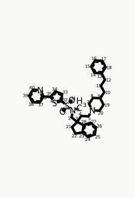 CN(CC1(CCN2CCC(CCCc3ccccc3)CC2)CCc2ccccc21)S(=O)(=O)c1ccc(-c2ccccn2)s1